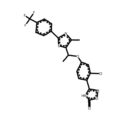 Cc1nc(-c2ccc(C(F)(F)F)cc2)sc1C(C)Oc1ccc(-c2noc(=O)[nH]2)c(Cl)c1